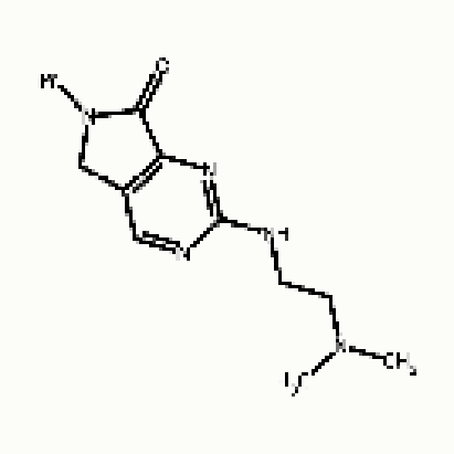 CC(C)N1Cc2cnc(NCCN(C)C)nc2C1=O